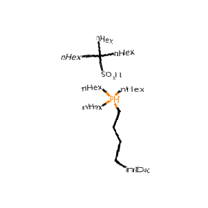 CCCCCCC(CCCCCC)(CCCCCC)S(=O)(=O)O.CCCCCCCCCCCCCC[PH](CCCCCC)(CCCCCC)CCCCCC